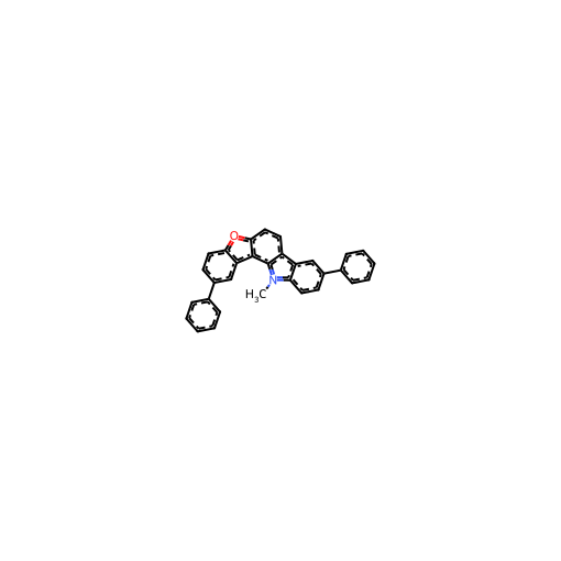 Cn1c2ccc(-c3ccccc3)cc2c2ccc3oc4ccc(-c5ccccc5)cc4c3c21